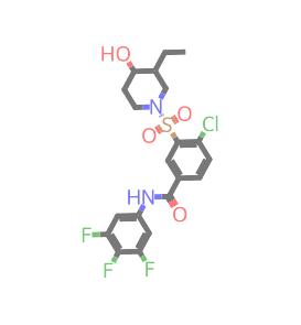 CCC1CN(S(=O)(=O)c2cc(C(=O)Nc3cc(F)c(F)c(F)c3)ccc2Cl)CCC1O